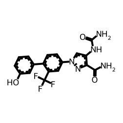 NC(=O)Nc1cn(-c2ccc(-c3cccc(O)c3)c(C(F)(F)F)c2)nc1C(N)=O